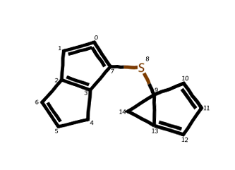 C1=CC2=C(CC=C2)C=1SC12C=CC=C1C2